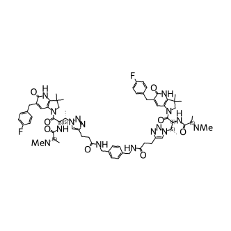 CN[C@@H](C)C(=O)N[C@H](C(=O)N1CC(C)(C)c2[nH]c(=O)c(Cc3ccc(F)cc3)cc21)[C@H](C)n1cc(CCC(=O)NCc2ccc(CNC(=O)CCc3cn([C@@H](C)[C@H](NC(=O)[C@H](C)NC)C(=O)N4CC(C)(C)c5[nH]c(=O)c(Cc6ccc(F)cc6)cc54)nn3)cc2)nn1